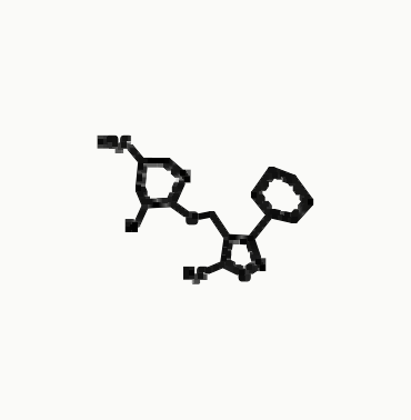 Cc1onc(-c2ccccc2)c1COc1ncc(C(=O)O)cc1Br